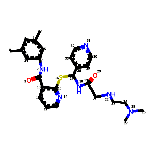 Cc1cc(C)cc(NC(=O)c2cccnc2SC(NC(=O)CNCCN(C)C)c2ccncc2)c1